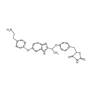 CC(Oc1ccc(CC2SC(=O)NC2=O)cc1)c1nc2ccc(Oc3ccc(CCN)cc3)cc2[nH]1